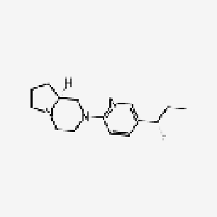 CC[C@H](C)c1ccc(N2CCN3CCC[C@H]3C2)nc1